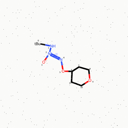 CC(C)(C)N/[N+]([O-])=N/OC1CCOCC1